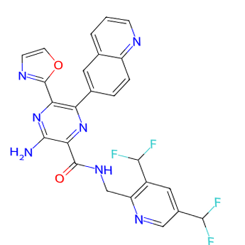 Nc1nc(-c2ncco2)c(-c2ccc3ncccc3c2)nc1C(=O)NCc1ncc(C(F)F)cc1C(F)F